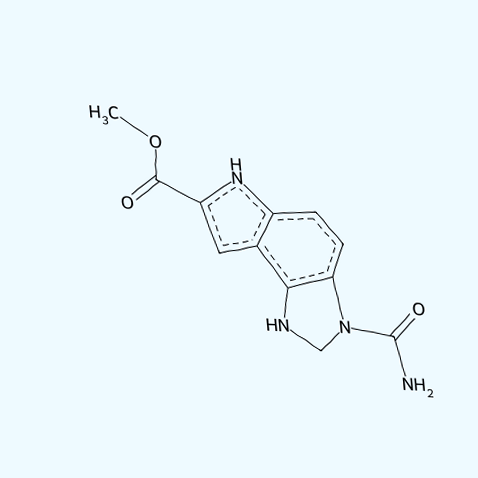 COC(=O)c1cc2c3c(ccc2[nH]1)N(C(N)=O)CN3